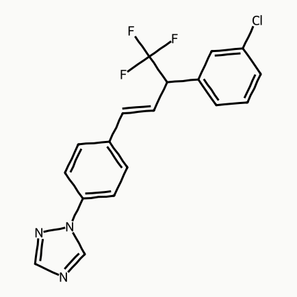 FC(F)(F)C(/C=C/c1ccc(-n2cncn2)cc1)c1cccc(Cl)c1